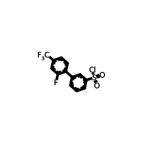 O=S(=O)(Cl)c1cccc(-c2ccc(C(F)(F)F)cc2F)c1